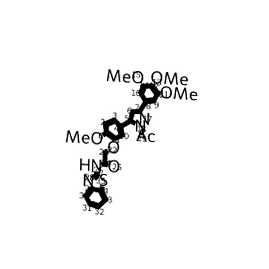 COc1ccc(C2CC(c3cc(OC)c(OC)c(OC)c3)=NN2C(C)=O)cc1OCC(=O)Nc1nc2ccccc2s1